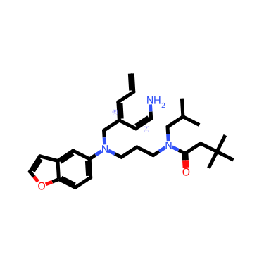 C=C/C=C(\C=C/N)CN(CCCN(CC(C)C)C(=O)CC(C)(C)C)c1ccc2occc2c1